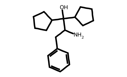 NC(Cc1ccccc1)C(O)(C1CCCC1)C1CCCC1